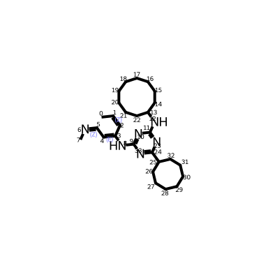 C\C=C/C(=C\C=N/C)Nc1nc(NC2CCCCCCCCC2)nc(C2CCCCCCC2)n1